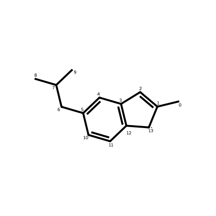 CC1=Cc2cc(CC(C)C)ccc2[CH]1